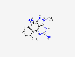 Cc1cccc(C)c1-c1nc(N)nc2c1c(N)nn2C